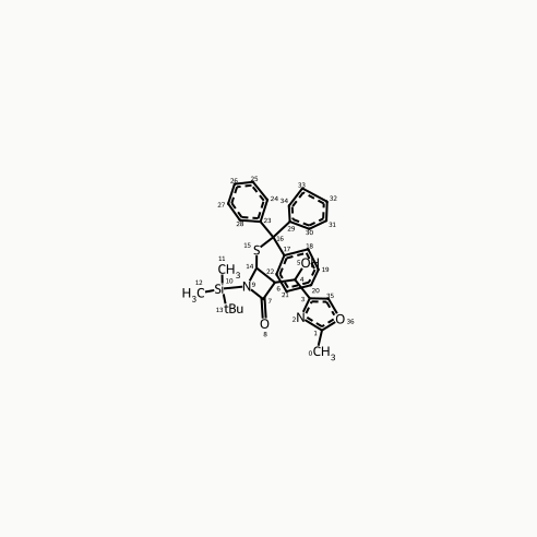 Cc1nc(C(O)C2C(=O)N([Si](C)(C)C(C)(C)C)C2SC(c2ccccc2)(c2ccccc2)c2ccccc2)co1